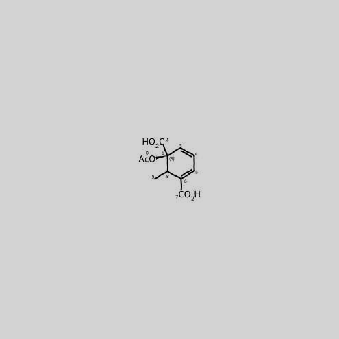 CC(=O)O[C@@]1(C(=O)O)C=CC=C(C(=O)O)C1C